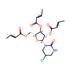 C/C=C/C(=O)OC[C@H]1O[C@@H](N2CC(Cl)CNC2=O)[C@@H](OC(=O)/C=C/C)[C@@H]1OC(=O)/C=C/C